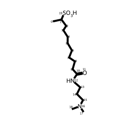 CC(CCCCCCCCC(=O)NCCCN(C)C)S(=O)(=O)O